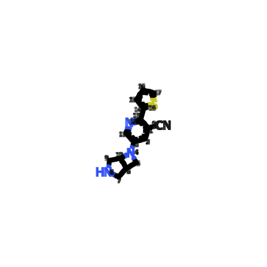 N#Cc1cc(N2CC3CNCC32)cnc1-c1cccs1